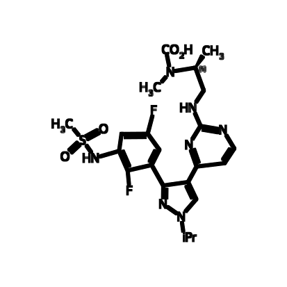 CC(C)n1cc(-c2ccnc(NC[C@H](C)N(C)C(=O)O)n2)c(-c2cc(F)cc(NS(C)(=O)=O)c2F)n1